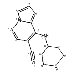 N#Cc1cnn2cccc2c1NC1CCOCC1